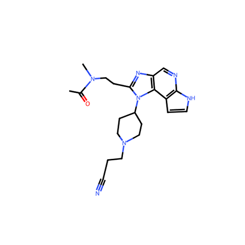 CC(=O)N(C)CCc1nc2cnc3[nH]ccc3c2n1C1CCN(CCC#N)CC1